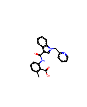 Cc1cccc(NC(=O)c2cn(Cc3ccccn3)c3ccccc23)c1C(=O)O